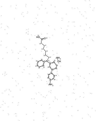 NO.Nc1ccc(-c2ccnc(N(CCCCCCC(=O)O)c3ccccn3)c2)cc1